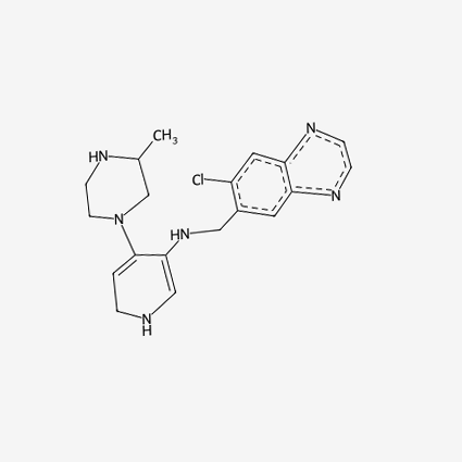 CC1CN(C2=CCNC=C2NCc2cc3nccnc3cc2Cl)CCN1